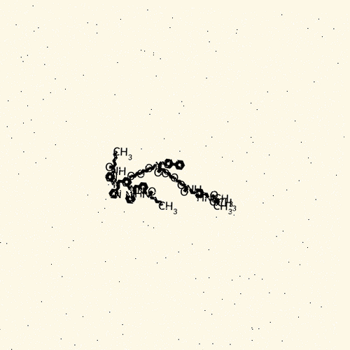 CCCCCC(=O)Nc1cccc(CN(Cc2cc(CN(Cc3ccccn3)Cc3cccc(NC(=O)CCCCC)n3)cc(OCCOCCOCCN(Cc3ccc(-c4ccccc4)cc3)C(=O)COCCOCCOCC(=O)NCc3ccc(CNC(=O)OC(C)(C)C)cc3)c2)Cc2ccccn2)n1